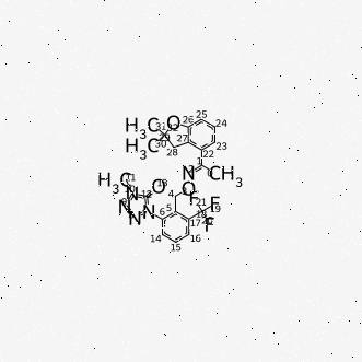 CC(=NOCc1c(-n2nnn(C)c2=O)cccc1C(F)(F)F)c1cccc2c1CC(C)(C)O2